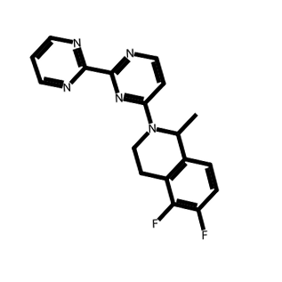 CC1c2ccc(F)c(F)c2CCN1c1ccnc(-c2ncccn2)n1